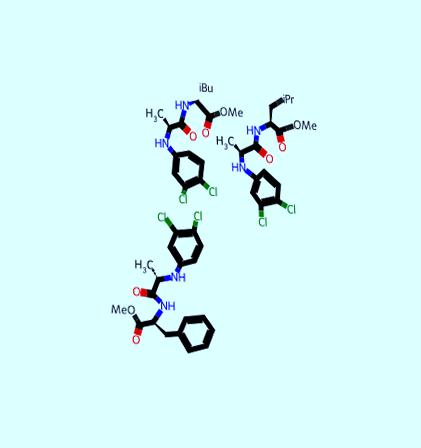 CC[C@H](C)[C@H](NC(=O)[C@H](C)Nc1ccc(Cl)c(Cl)c1)C(=O)OC.COC(=O)[C@H](CC(C)C)NC(=O)[C@H](C)Nc1ccc(Cl)c(Cl)c1.COC(=O)[C@H](Cc1ccccc1)NC(=O)[C@H](C)Nc1ccc(Cl)c(Cl)c1